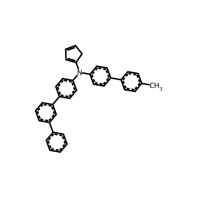 Cc1ccc(-c2ccc(N(C3=CC=CC3)c3ccc(-c4cccc(-c5ccccc5)c4)cc3)cc2)cc1